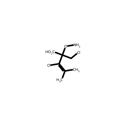 CC(C)=C(Cl)C(CCl)(ON)C(=O)O